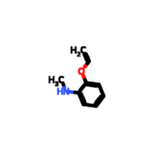 C=COc1ccccc1NC